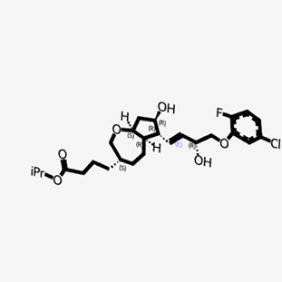 CC(C)OC(=O)CCC[C@H]1CC[C@@H]2[C@@H](/C=C/[C@@H](O)COc3cc(Cl)ccc3F)[C@H](O)C[C@@H]2OC1